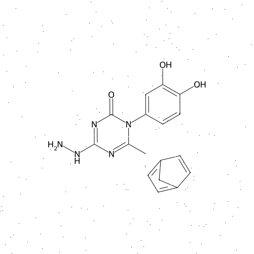 C1=CC2=CC=C1C2.Cc1nc(NN)nc(=O)n1-c1ccc(O)c(O)c1